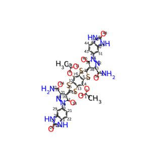 CC(=O)Oc1c2c(c(OC(C)=O)c3c1SC(=C1C(=O)N(c4ccc5[nH]c(=O)[nH]c5c4)N=C1C(N)=O)S3)SC(=C1C(=O)N(c3ccc4[nH]c(=O)[nH]c4c3)N=C1C(N)=O)S2